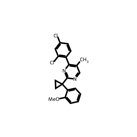 COc1ccccc1C1(c2ncc(C)c(-c3ccc(Cl)cc3Cl)n2)CC1